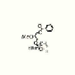 COC(COC(=O)c1ccccc1)CO[Si](C)(C)C(C)(C)C